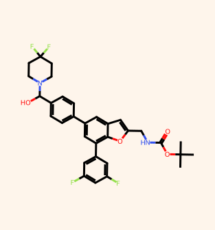 CC(C)(C)OC(=O)NCc1cc2cc(-c3ccc(C(O)N4CCC(F)(F)CC4)cc3)cc(-c3cc(F)cc(F)c3)c2o1